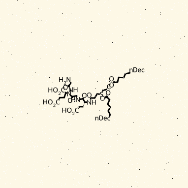 CCCCCCCCCCCCCCCC(=O)OC[C@H](CSCCC(=O)N[C@H](CCC(=O)O)C(=O)NCC(=O)N(NC(=O)CN)[C@H](CCC(=O)O)C(=O)O)OC(=O)CCCCCCCCCCCCCCC